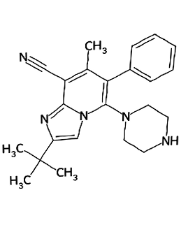 Cc1c(-c2ccccc2)c(N2CCNCC2)n2cc(C(C)(C)C)nc2c1C#N